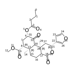 CCCC(=O)O[C@H]1C[C@@H](C(=O)OC)[C@]2(C)CCC3C(=O)O[C@@H](c4ccoc4)C[C@]3(C)C2C1=O